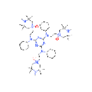 CN1C(C)(C)C[N+]([O-])(CCN(c2nc(N(CC[N+]3([O-])CC(C)(C)N(C)C(C)(C)C3)C3CCCCC3)nc(N(CC[N+]3([O-])CC(C)(C)N(C)C(C)(C)C3)C3CCCCC3)n2)C2CCCCC2)CC1(C)C